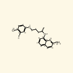 CC(CCCOc1ccc(Cl)c(F)c1)Oc1cccc2ccc(N)nc12